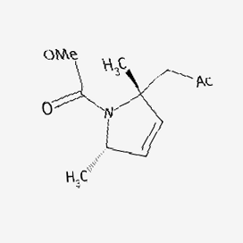 COC(=O)N1[C@@H](C)C=C[C@@]1(C)CC(C)=O